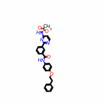 CS(=O)(=O)Nc1ccnc(-c2cccc(C(=O)Nc3ccc(OCCc4ccccc4)cc3)c2)n1